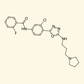 O=C(Nc1ccc(-c2nnc(NCCCN3CCCC3)o2)c(Cl)c1)c1ccccc1F